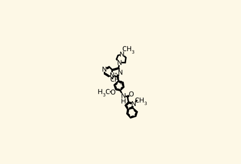 COc1cc(C2=NC(N3CCN(C)CC3)=C3C=NC=C[N+]23C)ccc1NC(=O)c1cc2ccccc2n1C